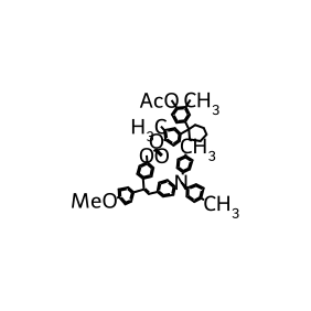 COc1ccc(C(=Cc2ccc(N(c3ccc(C)cc3)c3ccc(C)cc3)cc2)c2ccc(OC(=O)Oc3ccc(C4(c5ccc(OC(C)=O)c(C)c5)CCCCC4)cc3C)cc2)cc1